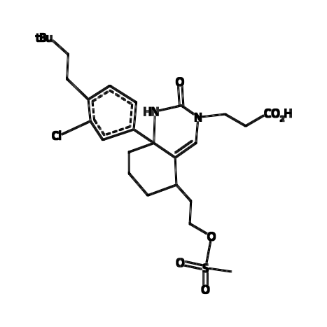 CC(C)(C)CCc1ccc(C23CCCC(CCOS(C)(=O)=O)C2=CN(CCC(=O)O)C(=O)N3)cc1Cl